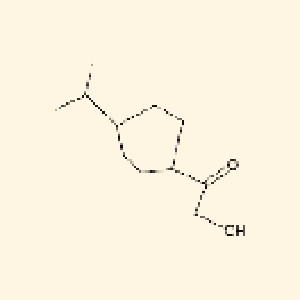 CC(C)C1CCC(C(=O)CO)CC1